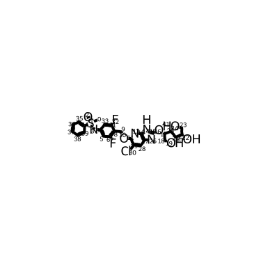 CS(=O)(=Nc1cc(F)c(COc2nc3[nH]c(OC4CO[C@@H]5[C@H](O)CO[C@H]45)nc3cc2Cl)c(F)c1)c1ccccc1